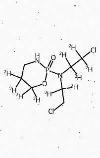 [2H]C([2H])(CCl)N(C([2H])([2H])C([2H])([2H])Cl)P1(=O)NCC([2H])([2H])C([2H])([2H])O1